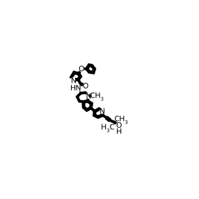 CN1C[C@@H](NC(=O)c2cc(Oc3ccccc3)ccn2)CCc2ccc(-c3ccc(C#CC(C)(C)O)nc3)cc21